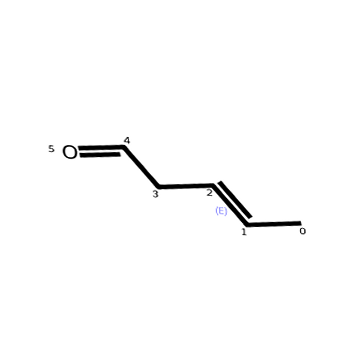 C/C=C/CC=O